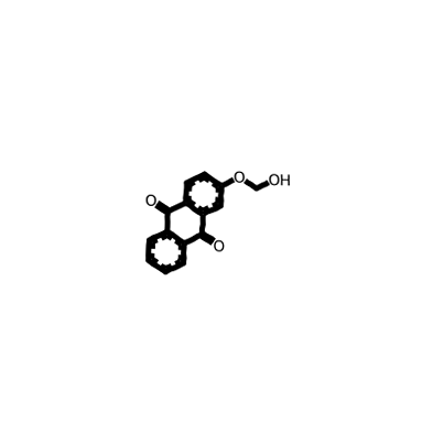 O=C1c2ccccc2C(=O)c2cc(OCO)ccc21